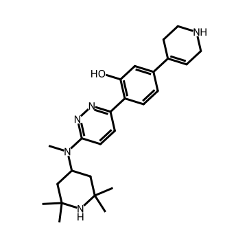 CN(c1ccc(-c2ccc(C3=CCNCC3)cc2O)nn1)C1CC(C)(C)NC(C)(C)C1